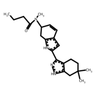 CCCC(=O)N(C)C1C=Cc2cc(-c3n[nH]c4c3CCC(C)(C)C4)[nH]c2C1